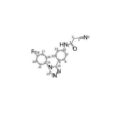 N#CCC(=O)Nc1ccc(-c2nncn2-c2ccc(F)cc2)cc1